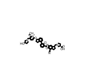 COc1nc(O[C@H]2CCc3c(-c4cccc(-c5nc6cc7c(c(C#N)c6o5)CCC7CN5CC[C@@H](C(=O)O)C5)c4Cl)cccc32)ccc1CN1CCC(O)C1